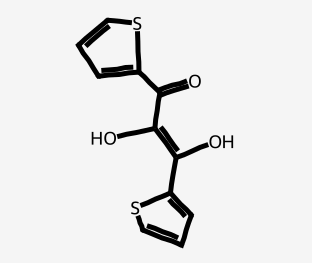 O=C(/C(O)=C(\O)c1cccs1)c1cccs1